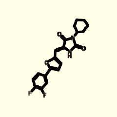 O=C1N/C(=C\c2ccc(-c3ccc(F)c(F)c3)o2)C(=O)N1C1CCCCC1